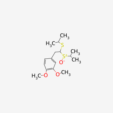 COc1ccc(CC(SC(C)C)[S+]([O-])C(C)C)cc1OC